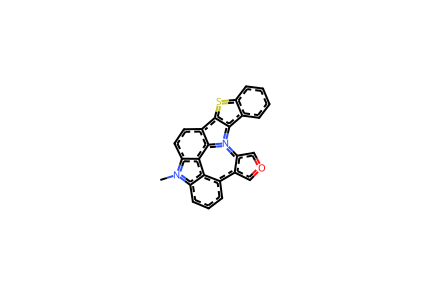 Cn1c2cccc3c4cocc4n4c5c6ccccc6sc5c5ccc1c(c32)c54